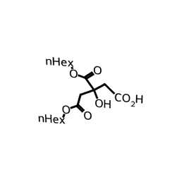 CCCCCCOC(=O)CC(O)(CC(=O)O)C(=O)OCCCCCC